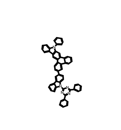 c1ccc(-c2nc(-c3ccccc3)nc(-n3c4ccccc4c4cc(-c5ccc6c(c5)c5ccccc5c5cc7c(cc65)c5ccccc5n7-c5ccccc5)ccc43)n2)cc1